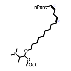 CCCCC/C=C\C/C=C\CCCCCCCCOC(OCCCCCCCC)C(C)N(C)C